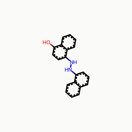 Oc1ccc(NNc2cccc3ccccc23)c2ccccc12